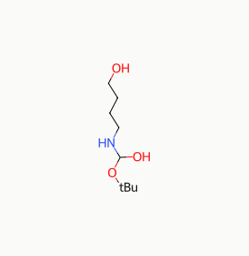 CC(C)(C)OC(O)NCCCCO